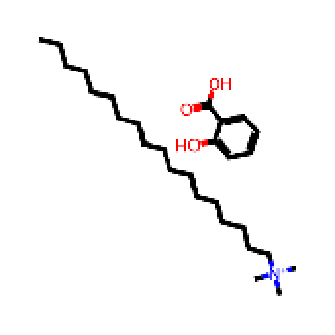 CCCCCCCCCCCCCCCCCC[N+](C)(C)C.O=C(O)c1ccccc1O